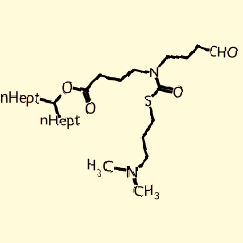 CCCCCCCC(CCCCCCC)OC(=O)CCCN(CCCC=O)C(=O)SCCCN(C)C